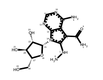 NNc1c(C(N)=O)c2c(N)ncnc2n1[C@@H]1O[C@H](CO)[C@@H](O)[C@@H]1O